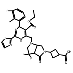 CCOC(=O)C1=C(CN2CC(F)(F)C3C(=O)N(C4CC(C(=O)O)C4)CC32)NC(c2nccs2)=NC1c1cccc(F)c1C